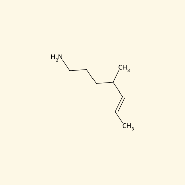 CC=CC(C)CCCN